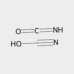 N#CO.N=C=O